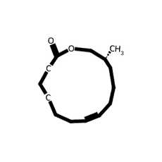 C[C@@H]1CCCC=CCCCCCC(=O)OC1